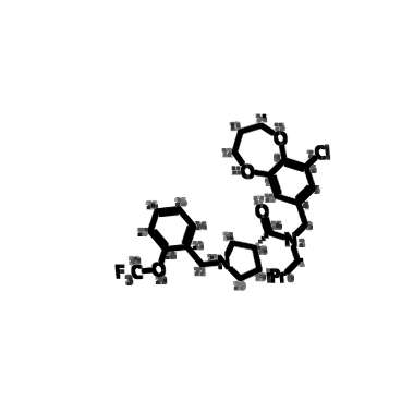 CC(C)CN(Cc1cc(Cl)c2c(c1)OCCCO2)C(=O)[C@@H]1CCN(Cc2ccccc2OC(F)(F)F)C1